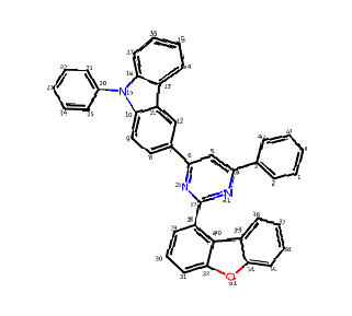 c1ccc(-c2cc(-c3ccc4c(c3)c3ccccc3n4-c3ccccc3)nc(-c3cccc4oc5ccccc5c34)n2)cc1